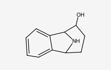 OC1CCC2NC1c1ccccc12